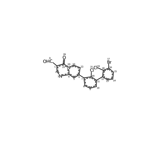 O=Cc1cnc2cc(-c3cccc(-c4cccc(Br)c4Cl)c3Cl)ccn2c1=O